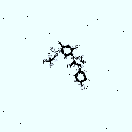 Cc1cc(F)c(-n2nnn(-c3ccc(Cl)cc3)c2=O)cc1[S+]([O-])CC(F)(F)F